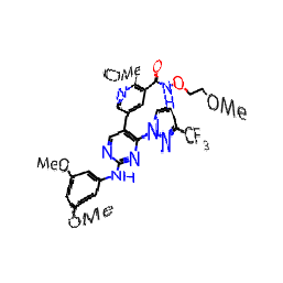 COCCONC(=O)c1cc(-c2cnc(Nc3cc(OC)cc(OC)c3)nc2-n2ccc(C(F)(F)F)n2)cnc1OC